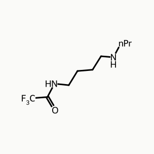 CCCNCCCCNC(=O)C(F)(F)F